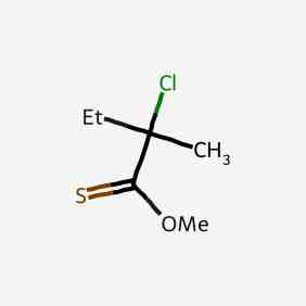 CCC(C)(Cl)C(=S)OC